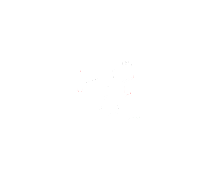 CC1=C(C(=O)O)CC(Cc2ccc(CCl)cc2)(C(=O)O)C=C1